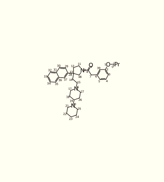 CC(C)Oc1cccc(CC(=O)N2CCC(CCN3CCC(N4CCCCC4)CC3)(c3ccc4ccccc4c3)C2)c1